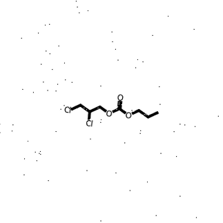 CCCOC(=O)OCC(Cl)CCl